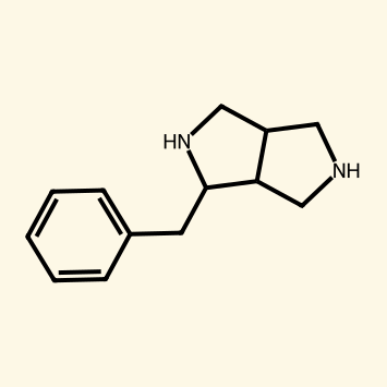 c1ccc(CC2NCC3CNCC32)cc1